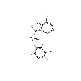 Nc1cccc2c(S(=O)(=O)Oc3c(F)c(F)c(F)c(F)c3F)c[nH]c12